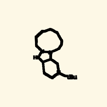 CC(C)(C)N1CCC2NN3CCCCCCCN3C2C1